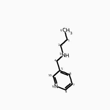 CC[CH]NCc1cccnc1